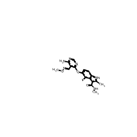 CNC(=O)c1c(C)[nH]c2ccc(Oc3ncnc(N)c3C=NOC)c(F)c12